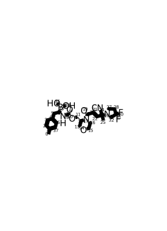 Cc1ccc(CC(NC(=O)OC[C@H]2COCCN2C(=O)C(C#N)=CC(C)(C)N2CCC(F)(F)C2)B(O)O)cc1